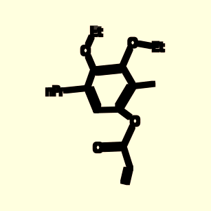 C=CC(=O)Oc1cc(CCC)c(OCC)c(OCC)c1C